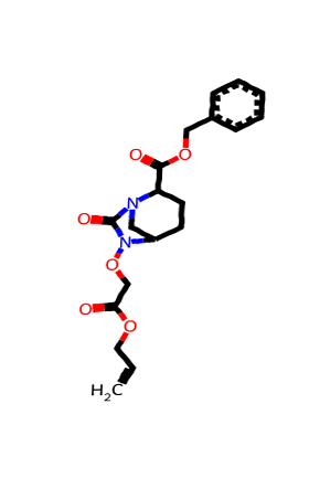 C=CCOC(=O)CON1C(=O)N2CC1CCC2C(=O)OCc1ccccc1